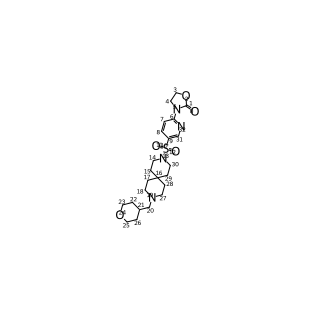 O=C1OCCN1c1ccc(S(=O)(=O)N2CCC3(CCN(CC4CCOCC4)CC3)CC2)cn1